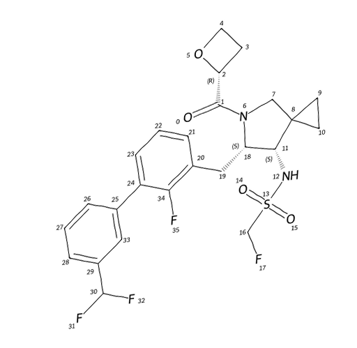 O=C([C@H]1CCO1)N1CC2(CC2)[C@H](NS(=O)(=O)CF)[C@@H]1Cc1cccc(-c2cccc(C(F)F)c2)c1F